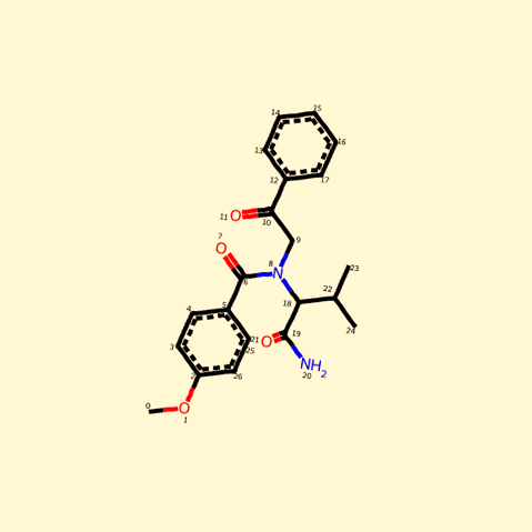 COc1ccc(C(=O)N(CC(=O)c2ccccc2)C(C(N)=O)C(C)C)cc1